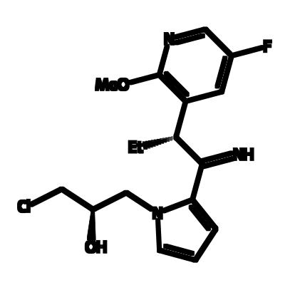 CC[C@@H](C(=N)c1cccn1C[C@@H](O)CCl)c1cc(F)cnc1OC